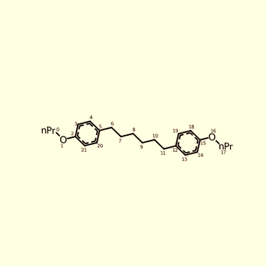 CCCOc1ccc(CCCCCCc2ccc(OCCC)cc2)cc1